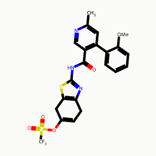 COc1ccccc1-c1cc(C)ncc1C(=O)Nc1nc2c(s1)CC(OS(=O)(=O)C(F)(F)F)=CC2